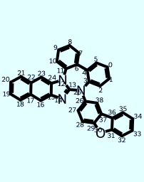 c1ccc2c(c1)-c1ccccc1-n1c(nc3cc4ccccc4cc31)N2c1ccc2oc3ccccc3c2c1